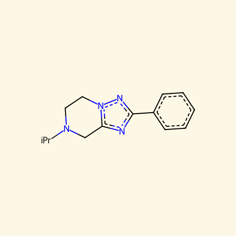 CC(C)N1CCn2nc(-c3ccccc3)nc2C1